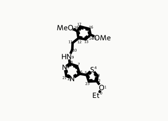 CCOc1csc(-c2cc(NCCc3cc(OC)ccc3OC)ncn2)c1